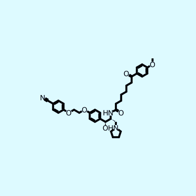 COc1ccc(C(=O)CCCCCCC(=O)N[C@H](CN2CCCC2)[C@H](O)c2ccc(OCCOc3ccc(C#N)cc3)cc2)cc1